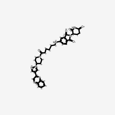 O=C1CCC(N2C(=O)c3ccc(NCCCCCC(=O)N4CCC(n5cc(-c6cnc7ccccc7n6)cn5)CC4)cc3C2=O)C(=O)N1